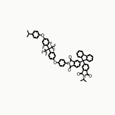 CC(C)c1ccc(Oc2ccc(C(c3ccc(Oc4ccc(N5C(=O)c6ccc(C7(c8ccc9c(c8)C(=O)N(C(C)C)C9=O)c8ccccc8-c8ccccc87)cc6C5=O)cc4)cc3)(C(F)(F)F)C(F)(F)F)cc2)cc1